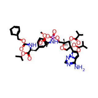 COC(=O)[C@H](C)NP(=O)(OC[C@@]1(C)OC[C@](OC(=O)C(C)C)(c2ccc3c(N)ncnn23)[C@@H]1OC(=O)C(C)C)Oc1ccc(C[C@H](NC(=O)OCc2ccccc2)C(=O)OC(C)C)cc1